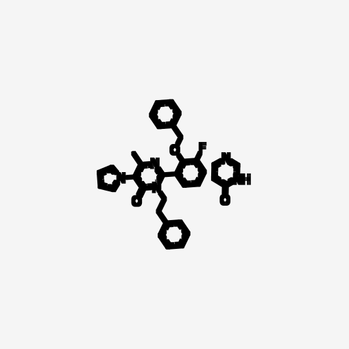 Cc1nc(-c2cccc(F)c2OCc2ccccc2)n(CCc2ccccc2)c(=O)c1-n1cccc1.O=c1ccnc[nH]1